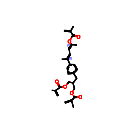 C=C(C)C(=O)OCC(COC(=O)C(=C)C)Cc1ccc(/C(C)=C/C=C(\C)OC(=O)C(=C)C)cc1